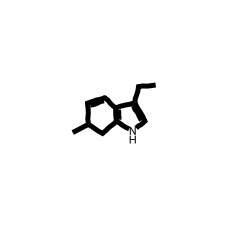 CCc1c[nH]c2c1C=CC(C)C2